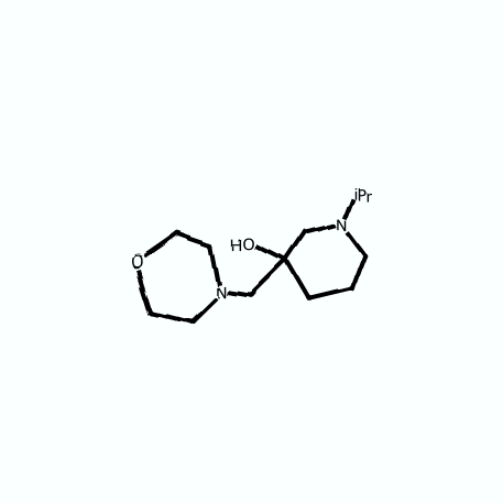 CC(C)N1CCCC(O)(CN2CCOCC2)C1